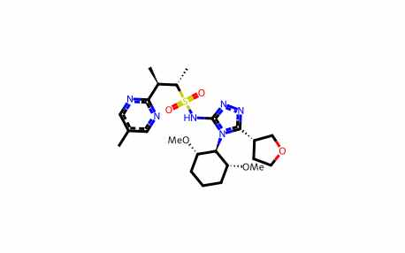 CO[C@H]1CCC[C@@H](OC)[C@@H]1n1c(NS(=O)(=O)[C@@H](C)[C@H](C)c2ncc(C)cn2)nnc1[C@H]1CCOC1